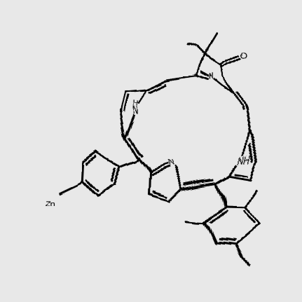 Cc1ccc(-c2c3nc(c(-c4c(C)cc(C)cc4C)c4ccc(cc5nc(cc6ccc2[nH]6)C(C)(C)C5=O)[nH]4)C=C3)cc1.[Zn]